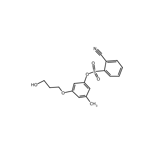 Cc1cc(OCCCO)cc(OS(=O)(=O)c2ccccc2C#N)c1